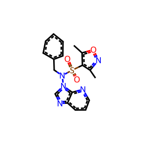 Cc1noc(C)c1S(=O)(=O)N(Cc1ccccc1)n1cnc2cccnc21